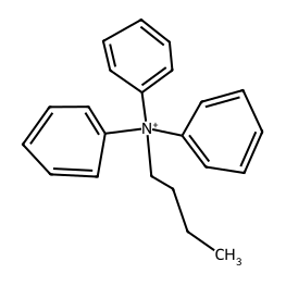 CCCC[N+](c1ccccc1)(c1ccccc1)c1ccccc1